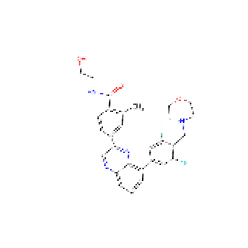 Cc1cc(-c2cnc3cccc(-c4cc(F)c(CN5CCOCC5)c(F)c4)c3n2)ccc1C(=O)NCCO